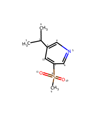 CC(C)c1cn[c]c(S(C)(=O)=O)c1